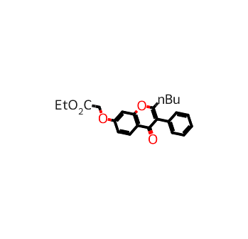 CCCCc1oc2cc(OCC(=O)OCC)ccc2c(=O)c1-c1ccccc1